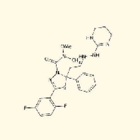 CON(C)C(=O)N1N=C(c2cc(F)ccc2F)SC1(CCNNC1=NCCCN1)c1ccccc1